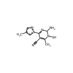 CC1=C(C#N)C(n2cc(C)cn2)=NC(N)N1S